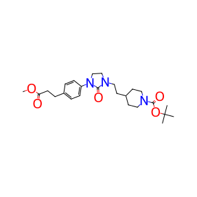 COC(=O)CCc1ccc(N2CCN(CCC3CCN(C(=O)OC(C)(C)C)CC3)C2=O)cc1